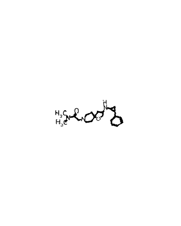 CN(C)C(=O)CN1CCC2(CC1)CC(NC1CC1c1ccccc1)CO2